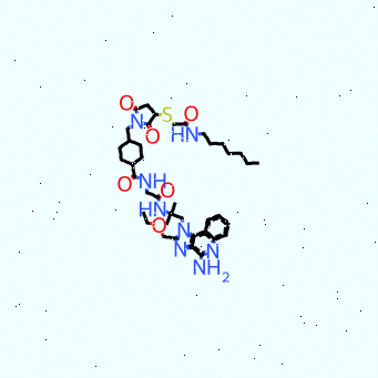 CCCCCCCNC(=O)CSC1CC(=O)N(CC2CCC(C(=O)NCC(=O)NC(C)(C)Cn3c(COCC)nc4c(N)nc5ccccc5c43)CC2)C1=O